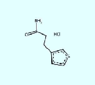 Cl.NC(=O)CCc1ccsc1